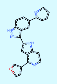 c1ccc(-c2ccc3[nH]nc(-c4cc5c(-c6ccoc6)nccc5[nH]4)c3c2)nc1